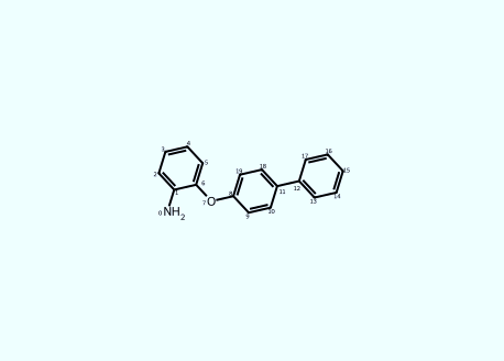 Nc1ccccc1Oc1ccc(-c2ccccc2)cc1